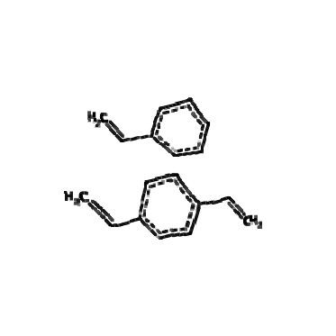 C=Cc1ccc(C=C)cc1.C=Cc1ccccc1